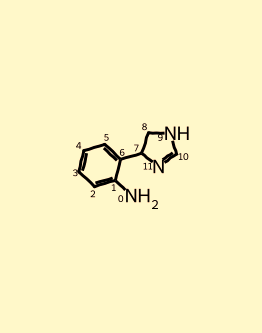 Nc1ccccc1C1CNC=N1